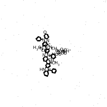 CN(C)c1cc2c(cc1-c1ccc3nc4cc(-c5cc6nc7ccc(=O)cc-7n(-c7ccccc7)c6cc5N(C)C)c(N(C)C)cc4[n+](-c4ccccc4)c3c1)Nc1ccccc1N2c1ccccc1.O=S(=O)(O)O.O=S(=O)([O-])[O-].[H+]